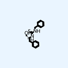 OC[C@@H](Cc1ccccc1)NC(=S)NCc1ccccc1